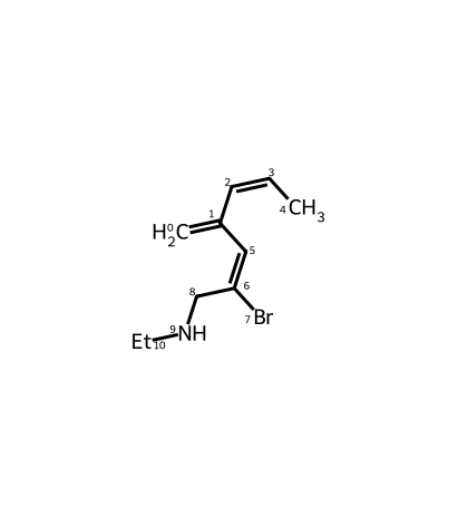 C=C(/C=C\C)/C=C(/Br)CNCC